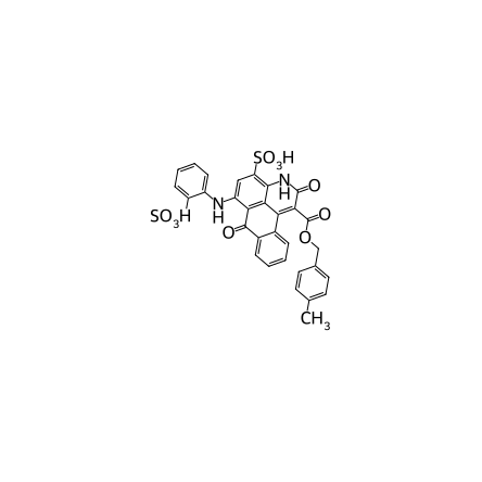 Cc1ccc(COC(=O)c2c3c4c(c(Nc5ccccc5S(=O)(=O)O)cc(S(=O)(=O)O)c4[nH]c2=O)C(=O)c2ccccc2-3)cc1